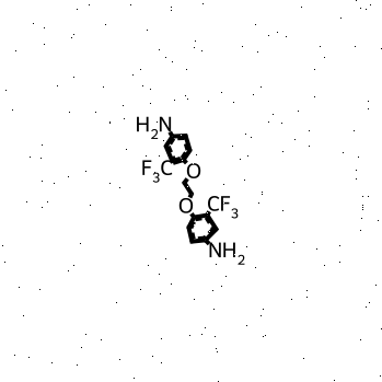 Nc1ccc(OCCOc2ccc(N)cc2C(F)(F)F)c(C(F)(F)F)c1